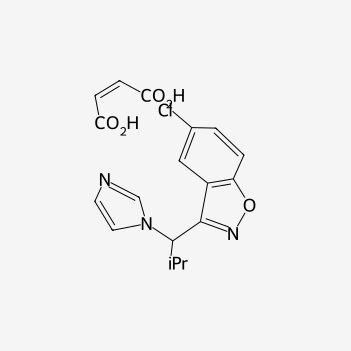 CC(C)C(c1noc2ccc(Cl)cc12)n1ccnc1.O=C(O)/C=C\C(=O)O